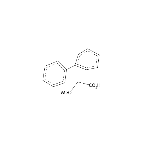 COCC(=O)O.c1ccc(-c2ccccc2)cc1